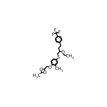 CCOC(CCc1ccc(C(F)(F)F)cc1)CSc1ccc(OCC2OC(C)O2)c(C)c1